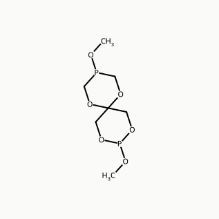 COP1COC2(COP(OC)OC2)OC1